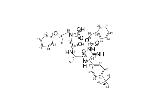 C[C@H](NC(=O)[C@H]1C[C@H](Oc2ccccc2)CN1C(=O)O)C(=O)NC(C(=N)NC(=O)OCc1ccccc1)c1ccc(C(C)(C)C)cc1